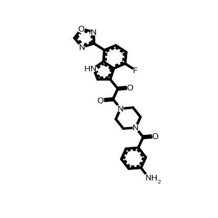 Nc1cccc(C(=O)N2CCN(C(=O)C(=O)c3c[nH]c4c(-c5ncon5)ccc(F)c34)CC2)c1